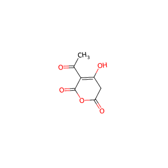 CC(=O)C1=C(O)CC(=O)OC1=O